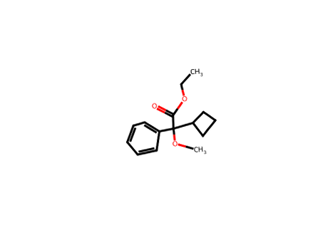 CCOC(=O)C(OC)(c1ccccc1)C1CCC1